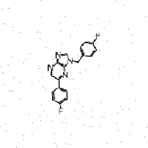 Fc1ccc(Cn2cnc3ncc(-c4ccc(F)cc4)nc32)cc1